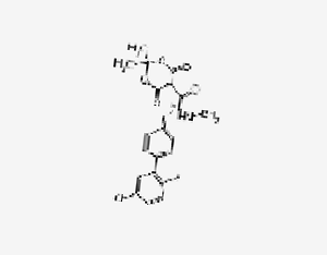 BN[C@H](Cc1ccc(-c2cc(Cl)ccc2F)cc1)C(=O)C1C(=O)OC(C)(C)OC1=O